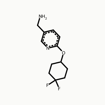 NCc1ccc(OC2CCC(F)(F)CC2)nc1